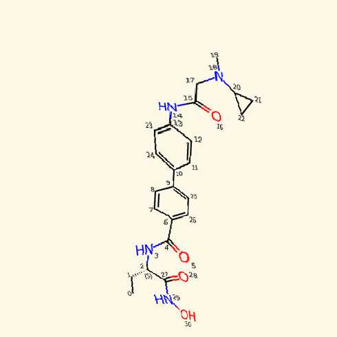 CC[C@H](NC(=O)c1ccc(-c2ccc(NC(=O)CN(C)C3CC3)cc2)cc1)C(=O)NO